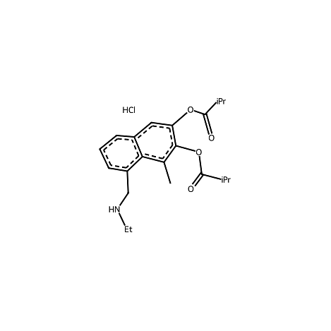 CCNCc1cccc2cc(OC(=O)C(C)C)c(OC(=O)C(C)C)c(C)c12.Cl